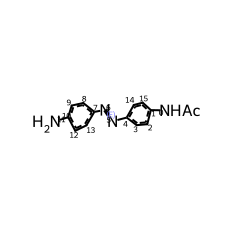 CC(=O)Nc1ccc(/N=N/c2ccc(N)cc2)cc1